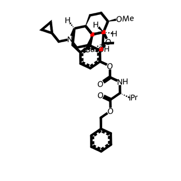 CO[C@]12CC[C@@]3(C[C@@H]1[C@@](C)(O)C(C)(C)C)[C@H]1Cc4ccc(OC(=O)N[C@@H](C(=O)OCc5ccccc5)C(C)C)c5c4[C@@]3(CCN1CC1CC1)[C@H]2O5